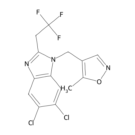 Cc1oncc1Cn1c(CC(F)(F)F)nc2cc(Cl)c(Cl)cc21